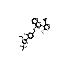 CCn1cc(C(F)(F)F)nc1-c1ccc(COc2nc(-c3c(OC)ncnc3C3CC3)nc3ncccc23)cc1F